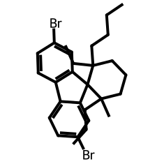 CCCCC1(CC)CCCC(C)(CCC)C12c1cc(Br)ccc1-c1ccc(Br)cc12